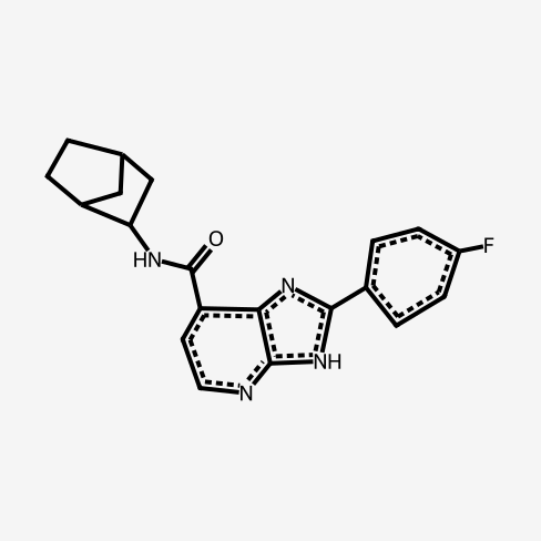 O=C(NC1CC2CCC1C2)c1ccnc2[nH]c(-c3ccc(F)cc3)nc12